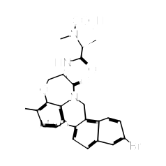 COc1ccc2cc(Br)ccc2c1CN1C(=O)[C@@H](NC(=O)[C@H](C)N(C)C(=O)O)COc2c(C)cccc21